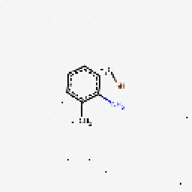 CS.Cc1ccccc1N